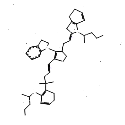 CCCC(C)NC1=C(C(C)(C)C/C=C/C2=C(N3CCc4ccccc43)C(C/C=C3\CC4=C(C=CCC4)N3C(C)CCC)CC2)CCC=C1